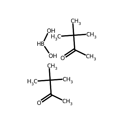 CC(=O)C(C)(C)C.CC(=O)C(C)(C)C.OBO